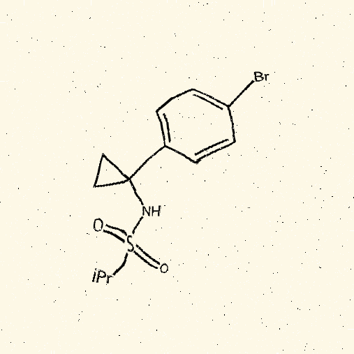 CC(C)S(=O)(=O)NC1(c2ccc(Br)cc2)CC1